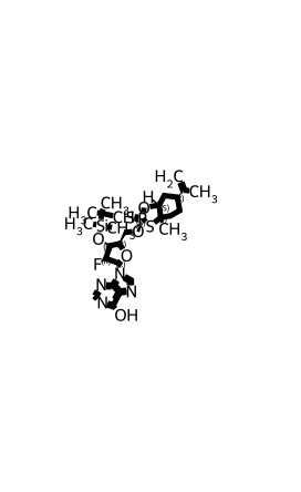 C=C(C)[C@@H]1CC[C@]2(C)S[P@@](=S)(OC[C@H]3O[C@@H](n4cnc5c(O)ncnc54)[C@H](F)[C@@H]3O[Si](C)(C)C(C)(C)C)O[C@H]2C1